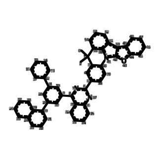 CC1(C)c2cc(-c3nc(-c4cc(-c5ccccc5)cc(-c5cccc6ccccc56)c4)c4ccccc4n3)ccc2-n2c3oc4ccccc4c3c3cccc1c32